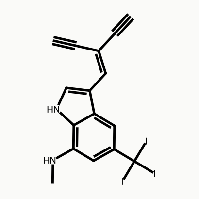 C#CC(C#C)=Cc1c[nH]c2c(NC)cc(C(I)(I)I)cc12